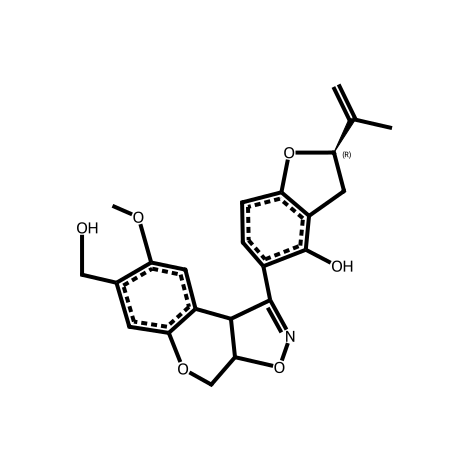 C=C(C)[C@H]1Cc2c(ccc(C3=NOC4COc5cc(CO)c(OC)cc5C34)c2O)O1